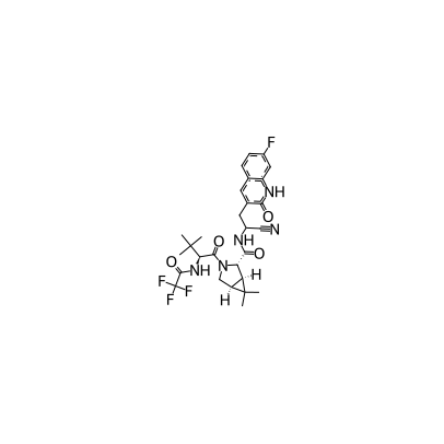 CC(C)(C)[C@H](NC(=O)C(F)(F)F)C(=O)N1C[C@H]2[C@@H]([C@H]1C(=O)NC(C#N)Cc1cc3ccc(F)cc3[nH]c1=O)C2(C)C